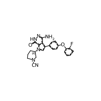 N#CN1CCC[C@@H](n2cc(-c3ccc(Oc4ccccc4F)cc3)c3c(N)n[nH]c(=O)c32)C1